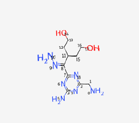 NCc1nc(N)nc(C(=NN)C(CCO)CCO)n1